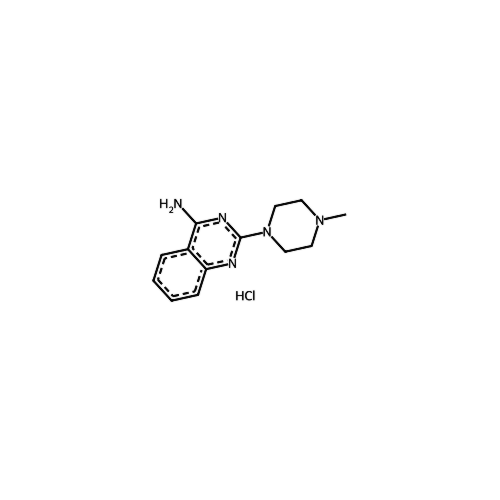 CN1CCN(c2nc(N)c3ccccc3n2)CC1.Cl